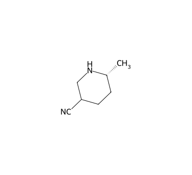 C[C@@H]1CCC(C#N)CN1